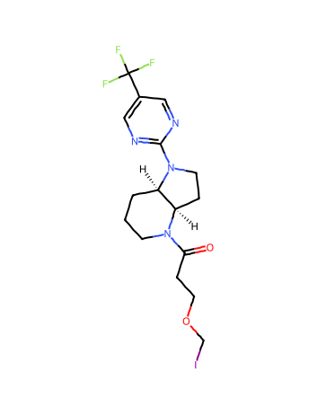 O=C(CCOCI)N1CCC[C@@H]2[C@H]1CCN2c1ncc(C(F)(F)F)cn1